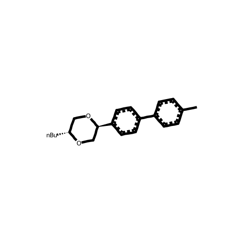 CCCC[C@@H]1CO[C@@H](c2ccc(-c3ccc(C)cc3)cc2)CO1